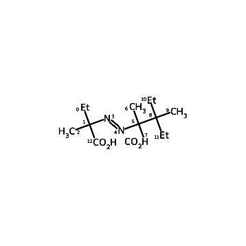 CCC(C)(N=NC(C)(C(=O)O)C(C)(CC)CC)C(=O)O